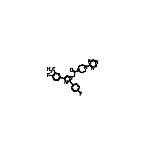 Cc1cc(-c2cn(CC(=O)N3CCN(c4ncncn4)CC3)c(-c3ccc(F)cc3)n2)ccc1F